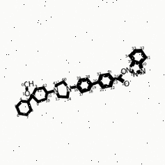 COC1(C2CCCCC2)CCC(N2CCN(c3ccc(-c4ccc(C(=O)On5nnc6ccccc65)cc4)cc3)CC2)CC1